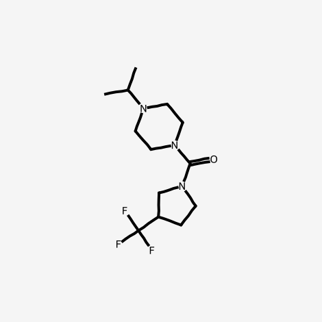 CC(C)N1CCN(C(=O)N2CCC(C(F)(F)F)C2)CC1